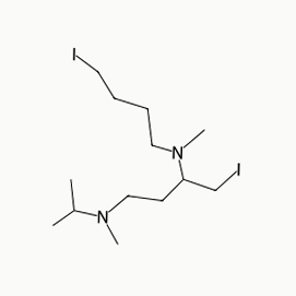 CC(C)N(C)CCC(CI)N(C)CCCCI